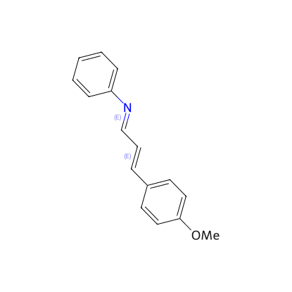 COc1ccc(/C=C/C=N/c2ccccc2)cc1